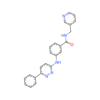 O=C(NCc1cccnc1)c1cccc(Nc2ccc(-c3ccccc3)nn2)c1